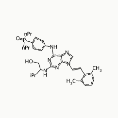 CCCP(=O)(CCC)c1ccc(Nc2nc(NC(CO)C(C)C)nc3c2ncn3C=Cc2c(C)cccc2C)cc1